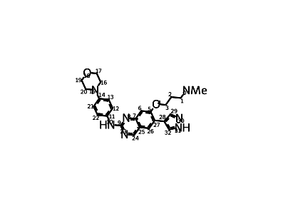 CNCCCOc1cc2nc(Nc3ccc(N4CCOCC4)cc3)ncc2cc1-c1cn[nH]c1